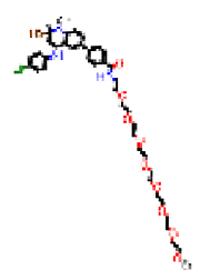 CCOCCOCCOCCOCCOCCOCCOCCOCCNC(=O)c1ccc(-c2ccc3c(c2)[C@H](Nc2ccc(Cl)cc2)C[C@](C)(S)N3C(C)=O)cc1